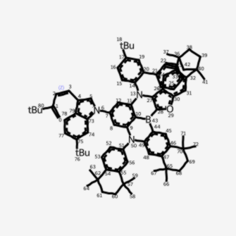 C=C(/C=C\c1cn(-c2cc3c4c(c2)N(c2ccc(C(C)(C)C)cc2-c2c#cccc2)c2c(oc5cc6c(cc25)C2(C)CCC6(C)C2)B4c2cc4c(cc2N3c2ccc3c(c2)C(C)(C)CCC3(C)C)C(C)(C)CCC4(C)C)c2cc(C(C)(C)C)ccc12)C(C)(C)C